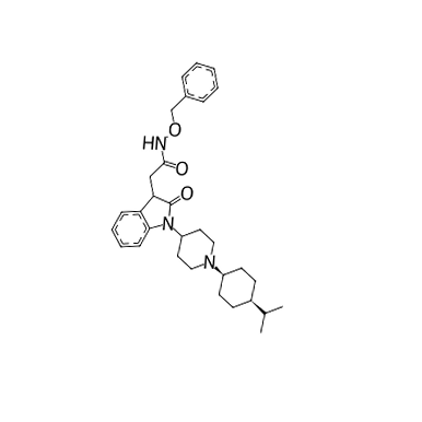 CC(C)[C@H]1CC[C@@H](N2CCC(N3C(=O)C(CC(=O)NOCc4ccccc4)c4ccccc43)CC2)CC1